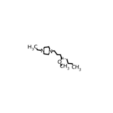 CCCC[C@@H](CCCN1CCN(CC)CC1)OC